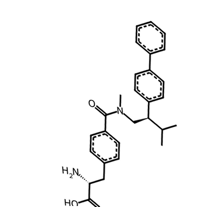 CC(C)[C@@H](CN(C)C(=O)c1ccc(C[C@@H](N)C(=O)O)cc1)c1ccc(-c2ccccc2)cc1